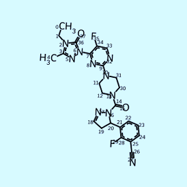 CCn1c(C)nn(-c2nc(N3CCN(C(=O)N4N=CCC4c4cccc(C#N)c4F)CC3)ncc2F)c1=O